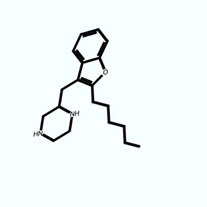 CCCCCCc1oc2ccccc2c1CC1CNCCN1